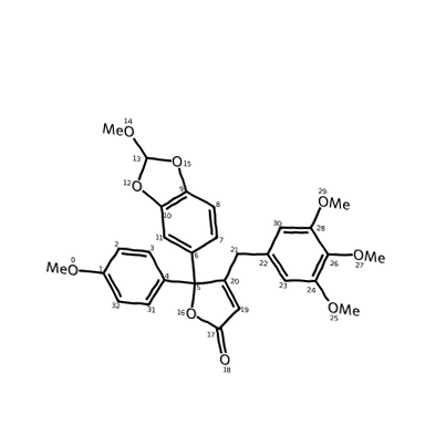 COc1ccc(C2(c3ccc4c(c3)OC(OC)O4)OC(=O)C=C2Cc2cc(OC)c(OC)c(OC)c2)cc1